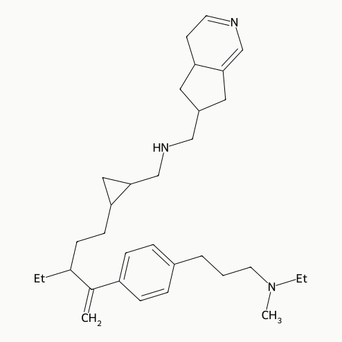 C=C(c1ccc(CCCN(C)CC)cc1)C(CC)CCC1CC1CNCC1CC2=CN=CCC2C1